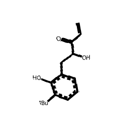 C=CC(=O)C(O)Cc1c[c]cc(C(C)(C)C)c1O